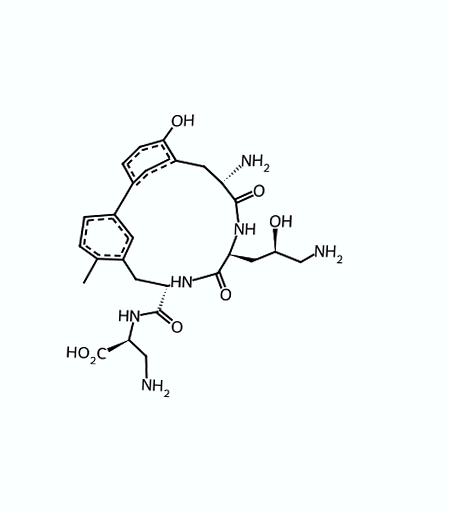 Cc1ccc2cc1C[C@@H](C(=O)N[C@@H](CN)C(=O)O)NC(=O)[C@H](C[C@@H](O)CN)NC(=O)[C@@H](N)Cc1cc-2ccc1O